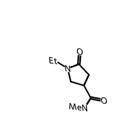 CCN1CC(C(=O)NC)CC1=O